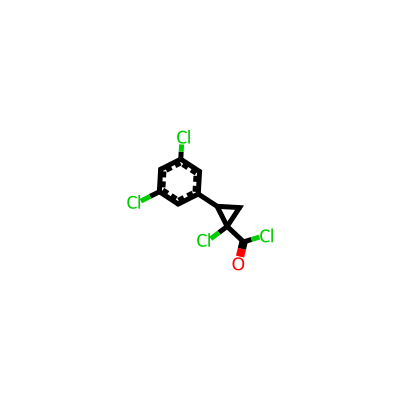 O=C(Cl)C1(Cl)CC1c1cc(Cl)cc(Cl)c1